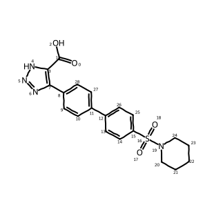 O=C(O)c1[nH]nnc1-c1ccc(-c2ccc(S(=O)(=O)N3CCCCC3)cc2)cc1